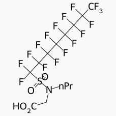 CCCN(CC(=O)O)S(=O)(=O)C(F)(F)C(F)(F)C(F)(F)C(F)(F)C(F)(F)C(F)(F)C(F)(F)C(F)(F)F